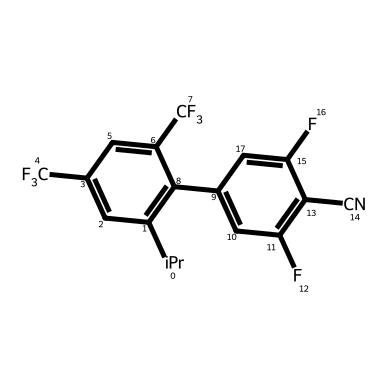 CC(C)c1cc(C(F)(F)F)cc(C(F)(F)F)c1-c1cc(F)c(C#N)c(F)c1